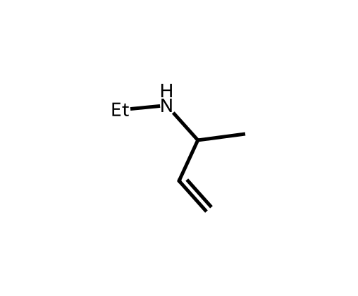 C=CC(C)NCC